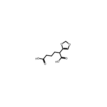 O=C(O)CCCC(C(=O)O)C1=COCO1